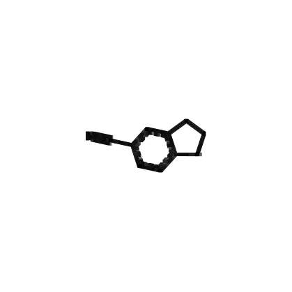 N#Cc1ccc2c(c1)CC[CH]2